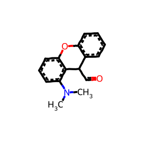 CN(C)c1cccc2c1C(C=O)c1ccccc1O2